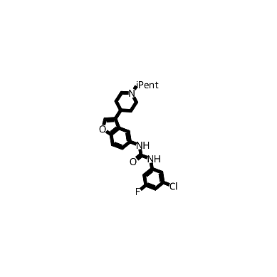 CCCC(C)N1CCC(c2coc3ccc(NC(=O)Nc4cc(F)cc(Cl)c4)cc23)CC1